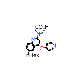 CCCCCCc1ccc2nc(N(C)CC(=O)O)cc(Oc3ccncc3)c2c1